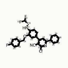 N#Cc1c(-c2ccc(NSC(F)F)c(OCc3ccc(F)cc3)c2)cc(-c2ccccc2)nc1Cl